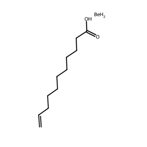 C=CCCCCCCCCC(=O)O.[BeH2]